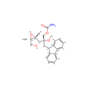 CO[C@](COC(N)=O)(CC1c2ccccc2-c2ccccc21)[C@@H]1OC[C@H]2O[C@H]12